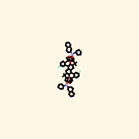 CC1(C)c2cc(N(c3ccccc3)c3ccc4ccccc4c3)ccc2-c2c1cc1c(-c3cc(F)ccc3-c3ccccc3)c3c(cc1c2-c1cc(F)ccc1-c1ccccc1)C(C)(C)c1cc(N(c2ccccc2)c2ccc4ccccc4c2)ccc1-3